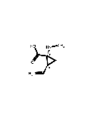 C=C[C@@H]1C[C@]1(NC)C(=O)O